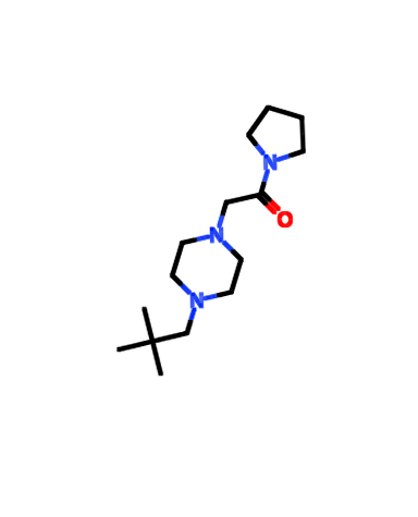 CC(C)(C)CN1CCN(CC(=O)N2CCCC2)CC1